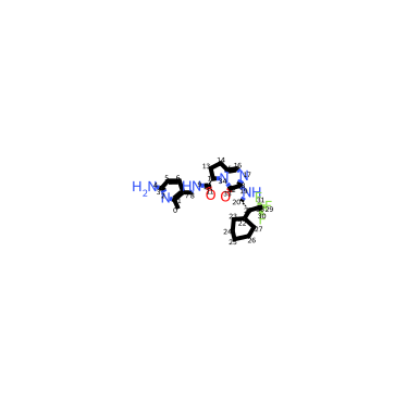 Cc1nc(N)ccc1CNC(=O)[C@@H]1CCc2cnc(NC[C@@H](C3CCCCC3)C(F)(F)F)c(=O)n21